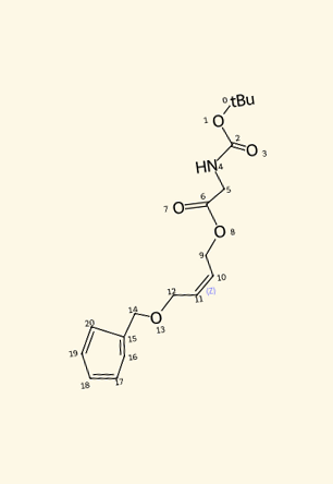 CC(C)(C)OC(=O)NCC(=O)OC/C=C\COCc1ccccc1